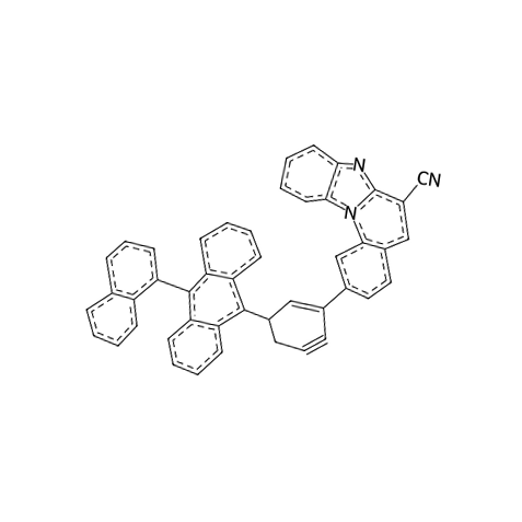 N#Cc1cc2ccc(C3=CC(c4c5ccccc5c(-c5cccc6ccccc56)c5ccccc45)CC#C3)cc2n2c1nc1ccccc12